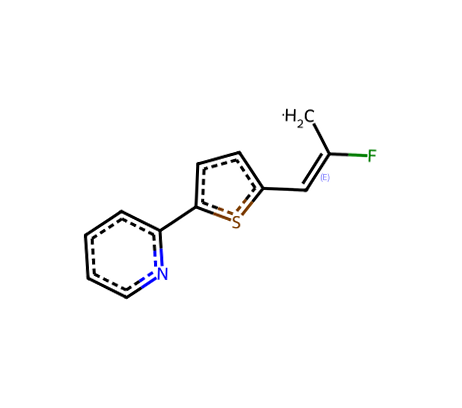 [CH2]/C(F)=C\c1ccc(-c2ccccn2)s1